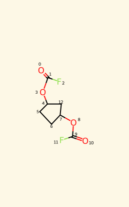 O=C(F)OC1CCC(OC(=O)F)C1